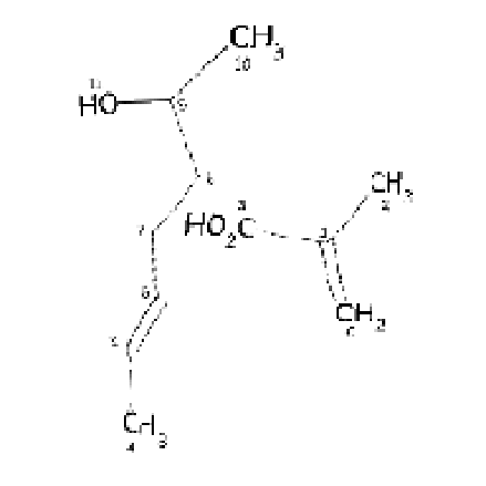 C=C(C)C(=O)O.CC=CCCC(C)O